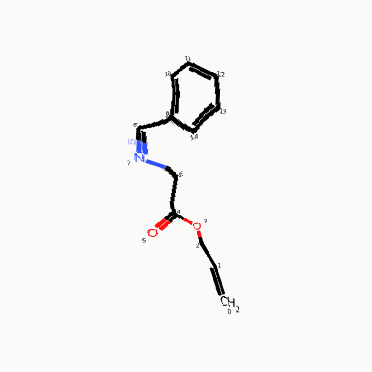 C=CCOC(=O)C/N=C\c1ccccc1